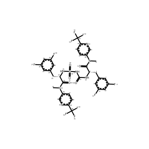 CN(C(=O)[C@H](Cc1cc(F)cc(F)c1)NC(=O)NS(=O)(=O)N[C@@H](Cc1cc(F)cc(F)c1)C(=O)N(C)c1ccc(C(F)(F)F)nc1)c1ccc(C(F)(F)F)nc1